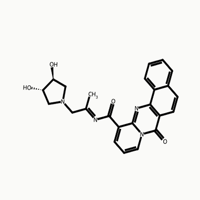 C/C(CN1C[C@H](O)[C@@H](O)C1)=N\C(=O)c1cccn2c(=O)c3ccc4ccccc4c3nc12